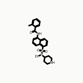 CCN(C1CCNCC1)S(=O)(=O)c1cccc2c(NC(=O)c3ccccc3C)cccc12